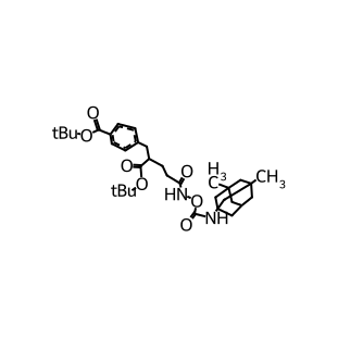 CC12CC3CC(C)(C1)CC(NC(=O)ONC(=O)CCC(Cc1ccc(C(=O)OC(C)(C)C)cc1)C(=O)OC(C)(C)C)(C3)C2